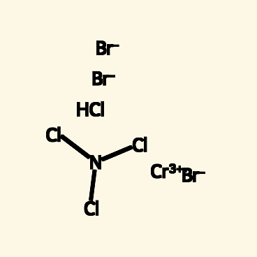 Cl.ClN(Cl)Cl.[Br-].[Br-].[Br-].[Cr+3]